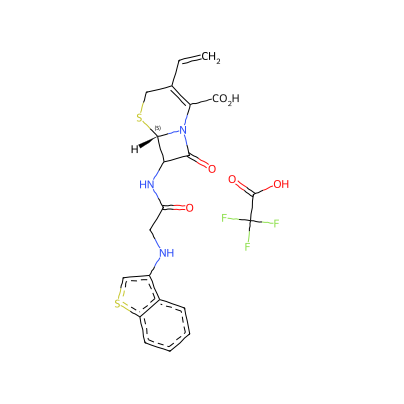 C=CC1=C(C(=O)O)N2C(=O)C(NC(=O)CNc3csc4ccccc34)[C@@H]2SC1.O=C(O)C(F)(F)F